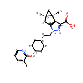 Cc1cccnc1O[C@H]1CC[C@@H](CCn2nc(C(=O)O)c3c2C[C@H]2C[C@@H]32)CC1